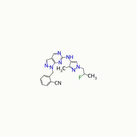 Cc1nn(CC(C)F)cc1Nc1ncc2cnn(Cc3ccccc3C#N)c2n1